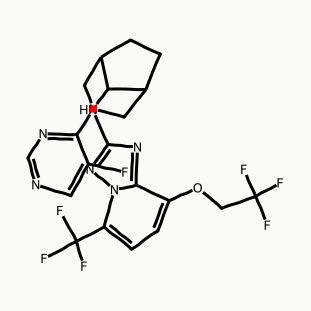 Fc1cncnc1N1CC2CCC(C1)C2Nc1nc2c(OCC(F)(F)F)ccc(C(F)(F)F)n2n1